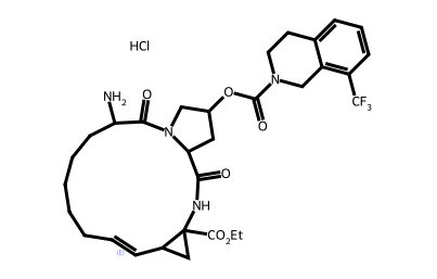 CCOC(=O)C12CC1/C=C/CCCCCC(N)C(=O)N1CC(OC(=O)N3CCc4cccc(C(F)(F)F)c4C3)CC1C(=O)N2.Cl